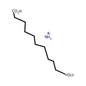 CCCCCCCCCCCCCCCCCC(=O)O.N.[K]